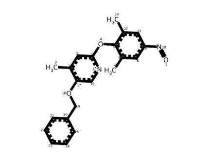 Cc1cc(Oc2c(C)cc(N=O)cc2C)ncc1OCc1ccccc1